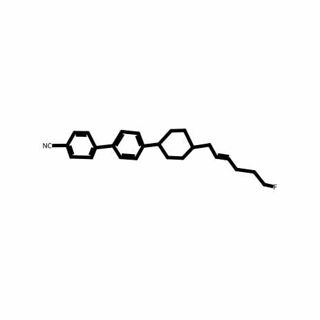 N#Cc1ccc(-c2ccc(C3CCC(C/C=C/CCCF)CC3)cc2)cc1